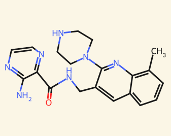 Cc1cccc2cc(CNC(=O)c3nccnc3N)c(N3CCNCC3)nc12